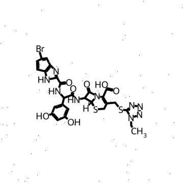 CCn1nnnc1SCC1=C(C(=O)O)N2C(=O)C(NC(=O)C(NC(=O)c3nc4cc(Br)ccc4[nH]3)c3cc(O)cc(O)c3)[C@H]2SC1